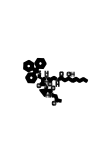 CCC/C=C/[C@@H](O)CC(=O)NCC(=O)N[C@H](CSC(c1ccccc1)(c1ccccc1)c1ccccc1)C(=O)NC1(C(=O)NCC(C)=O)CC1